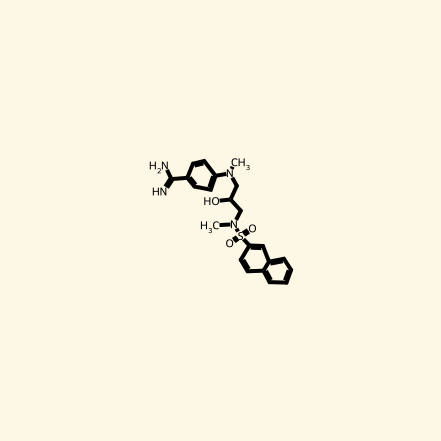 CN(CC(O)CN(C)S(=O)(=O)c1ccc2ccccc2c1)c1ccc(C(=N)N)cc1